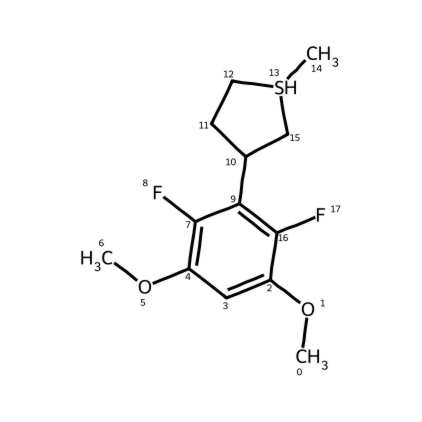 COc1cc(OC)c(F)c(C2CC[SH](C)C2)c1F